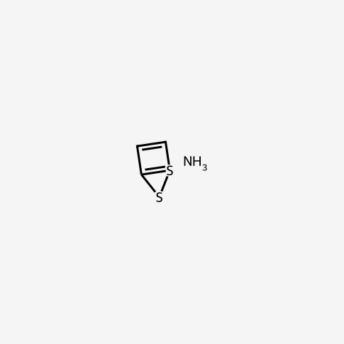 C1=CS2=C1S2.N